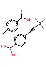 C[Si](C)(C)C#Cc1ccc(B(O)O)cc1.OB(O)c1ccc(I)cc1